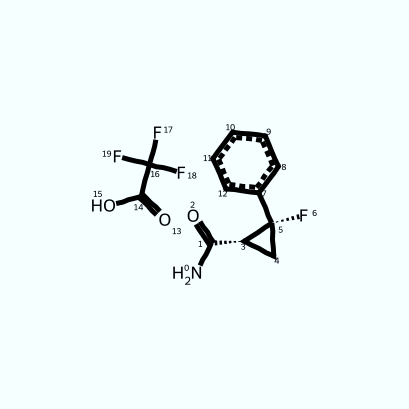 NC(=O)[C@H]1C[C@]1(F)c1ccccc1.O=C(O)C(F)(F)F